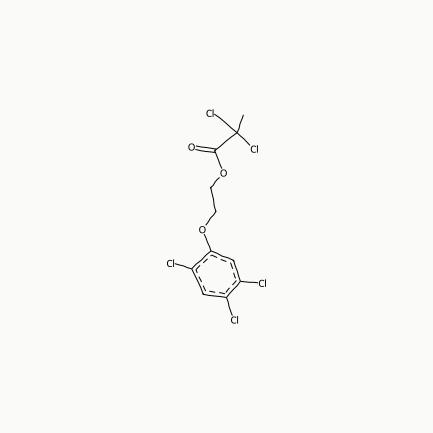 CC(Cl)(Cl)C(=O)OCCOc1cc(Cl)c(Cl)cc1Cl